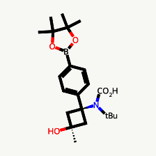 CC(C)(C)N(C(=O)O)[C@]1(c2ccc(B3OC(C)(C)C(C)(C)O3)cc2)C[C@](C)(O)C1